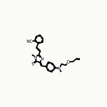 C=CCOCCN(C)c1ccc(/C=C2N=C(/C=C/c3ccccc3C#N)N(C)C\2=S)cc1